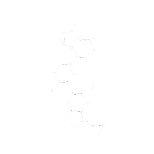 CCn1cnc2c(-c3ccc(F)c(-c4cc5c(cc4OC)N(C4CC4)CO5)c3)cnnc21